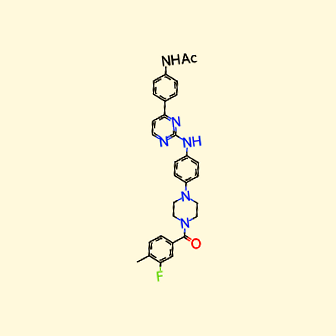 CC(=O)Nc1ccc(-c2ccnc(Nc3ccc(N4CCN(C(=O)c5ccc(C)c(F)c5)CC4)cc3)n2)cc1